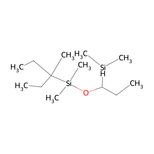 CCC(O[Si](C)(C)C(C)(CC)CC)[SiH](C)C